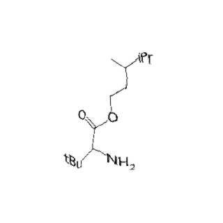 CC(C)C(C)CCOC(=O)C(N)C(C)(C)C